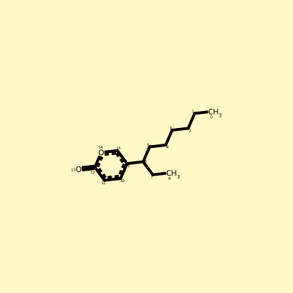 CCCCCCC(CC)c1ccc(=O)oc1